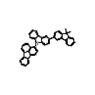 CC1(C)c2ccccc2-c2cc(-c3ccc4c(c3)c3ccccc3n4-c3ccc4c5c(cccc35)-c3ccccc3-4)ccc21